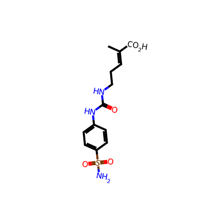 C/C(=C\CCNC(=O)Nc1ccc(S(N)(=O)=O)cc1)C(=O)O